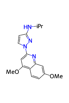 COc1ccc2c(OC)cc(-n3ccc(NC(C)C)n3)nc2c1